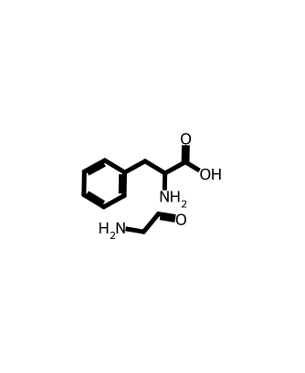 NC(Cc1ccccc1)C(=O)O.NCC=O